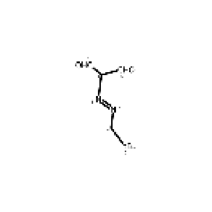 CCCCCN=NC(C=O)C=O